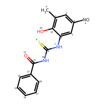 Cc1cc(N=O)cc(NC(=S)NC(=O)c2ccccc2)c1O